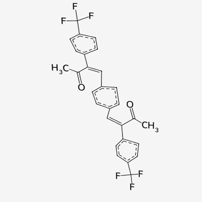 CC(=O)/C(=C\c1ccc(/C=C(\C(C)=O)c2ccc(C(F)(F)F)cc2)cc1)c1ccc(C(F)(F)F)cc1